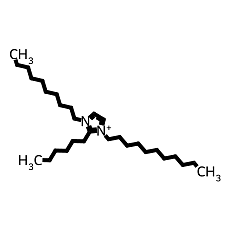 CCCCCCCCCCC[n+]1ccn(CCCCCCCCCC)c1CCCCCC